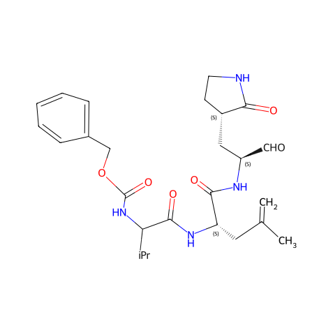 C=C(C)C[C@H](NC(=O)C(NC(=O)OCc1ccccc1)C(C)C)C(=O)N[C@H](C=O)C[C@@H]1CCNC1=O